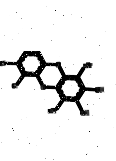 CCCc1c(O)c(O)c(CCC)c2c1Oc1ccc(Cl)c(Cl)c1O2